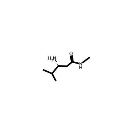 CNC(=O)C[C@@H](N)C(C)C